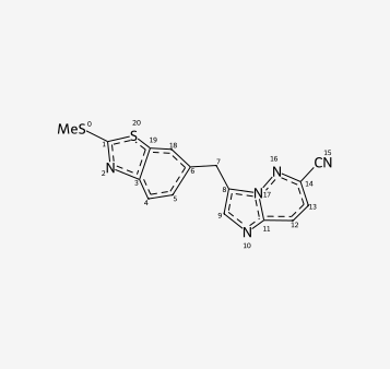 CSc1nc2ccc(Cc3cnc4ccc(C#N)nn34)cc2s1